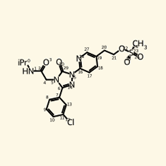 CC(C)NC(=O)Cn1c(-c2cccc(Cl)c2)nn(-c2ccc(CCOS(C)(=O)=O)cn2)c1=O